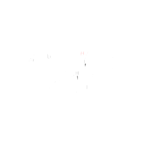 CCC(C=C[C@@H](C)[C@H]1CC[C@H]2[C@@H]3CCC4CCCC(O)[C@]4(C)[C@H]3CC[C@]12C)C(C)C